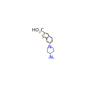 CN(C)C1CCN(c2ccc3cc(C(=O)O)sc3c2)CC1